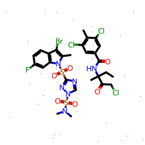 CCC(C)(NC(=O)c1cc(Cl)c(C)c(Cl)c1)C(=O)CCl.Cc1c(Br)c2ccc(F)cc2n1S(=O)(=O)c1ncn(S(=O)(=O)N(C)C)n1